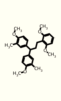 COc1ccc(C(CCc2c(OC)c[c]cc2OC)c2ccc(OC)c(C)c2)cc1C